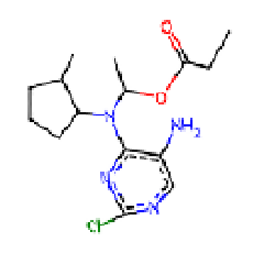 CCC(=O)OC(C)N(c1nc(Cl)ncc1N)C1CCCC1C